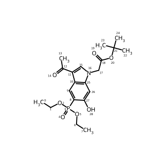 CCOP(=O)(OCC)c1cc2c(C(C)=O)cn(CC(=O)OC(C)(C)C)c2cc1O